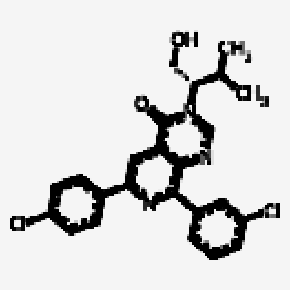 CC(C)[C@@H](CO)n1cnc2c(-c3cccc(Cl)c3)nc(-c3ccc(Cl)cc3)cc2c1=O